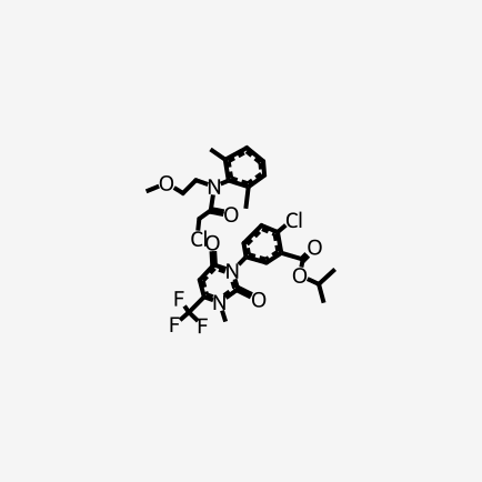 CC(C)OC(=O)c1cc(-n2c(=O)cc(C(F)(F)F)n(C)c2=O)ccc1Cl.COCCN(C(=O)CCl)c1c(C)cccc1C